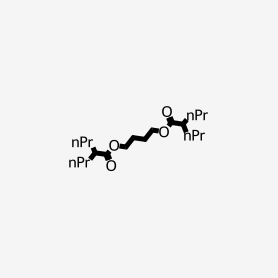 CCCC(CCC)C(=O)OCCCCOC(=O)C(CCC)CCC